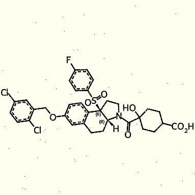 O=C(O)C1CCC(O)(C(=O)N2CC[C@@]3(S(=O)(=O)c4ccc(F)cc4)c4ccc(OCc5cc(Cl)ccc5Cl)cc4CC[C@@H]23)CC1